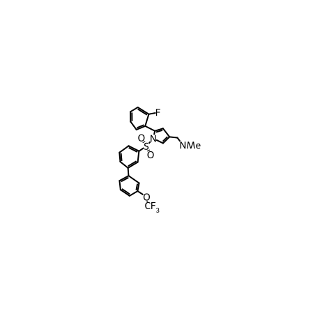 CNCc1cc(-c2ccccc2F)n(S(=O)(=O)c2cccc(-c3cccc(OC(F)(F)F)c3)c2)c1